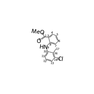 COC(=O)c1ccccc1Nc1cccc(Cl)c1C